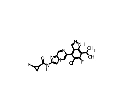 CC(C)c1c(F)c(Cl)c(-c2cn3cc(NC(=O)C4CC4F)nc3cn2)c2cn[nH]c12